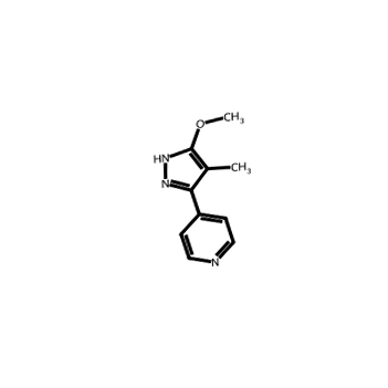 COc1[nH]nc(-c2ccncc2)c1C